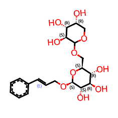 O[C@H]1[C@H](O)[C@@H](OC/C=C/c2ccccc2)O[C@@H](COC2OC[C@@H](O)[C@@H](O)[C@@H]2O)[C@@H]1O